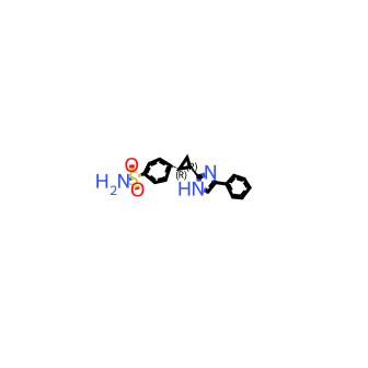 NS(=O)(=O)c1ccc([C@@H]2C[C@H]2c2nc(-c3ccccc3)c[nH]2)cc1